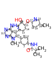 C=C(C)C(=O)Nc1ccc(-c2c(-c3ccc(Oc4ccc(C)cn4)c(O)c3)c3c(N)ncnc3n2C)cc1